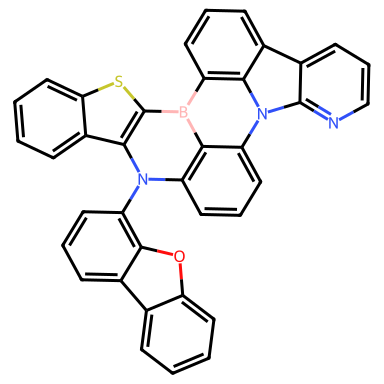 c1cc2c3c(c1)-n1c4ncccc4c4cccc(c41)B3c1sc3ccccc3c1N2c1cccc2c1oc1ccccc12